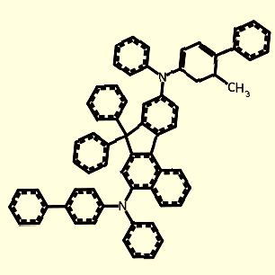 CC1CC(N(c2ccccc2)c2ccc3c(c2)C(c2ccccc2)(c2ccccc2)c2cc(N(c4ccccc4)c4ccc(-c5ccccc5)cc4)c4ccccc4c2-3)=CC=C1c1ccccc1